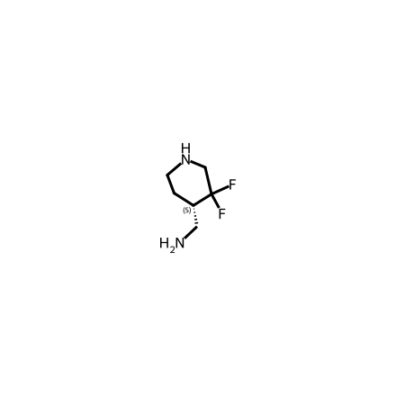 NC[C@@H]1CCNCC1(F)F